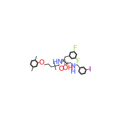 Cc1ccc(C)c(OCCCC(C)(C)C(=O)N[C@@H](Cc2cc(F)cc(F)c2)[C@@H](O)CNCc2cccc(I)c2)c1